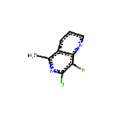 Cc1nc(Cl)c(Br)c2ncccc12